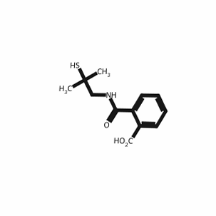 CC(C)(S)CNC(=O)c1ccccc1C(=O)O